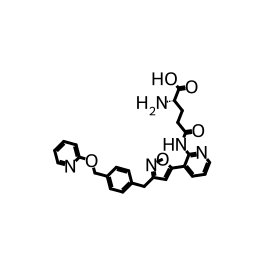 N[C@@H](CCC(=O)Nc1ncccc1-c1cc(Cc2ccc(COc3ccccn3)cc2)no1)C(=O)O